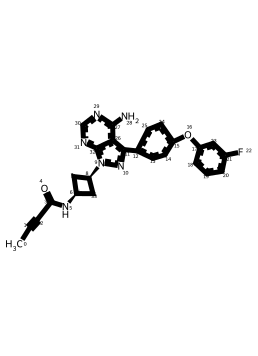 CC#CC(=O)N[C@H]1C[C@@H](n2nc(-c3ccc(Oc4cccc(F)c4)cc3)c3c(N)ncnc32)C1